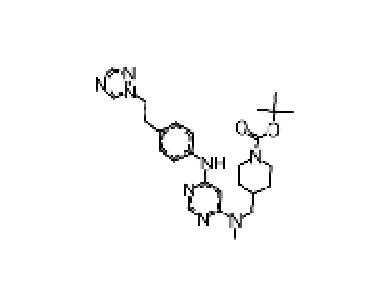 CN(CC1CCN(C(=O)OC(C)(C)C)CC1)c1cc(Nc2ccc(CCn3cncn3)cc2)ncn1